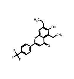 CCc1c(O)c(OC)cc2oc(-c3ccc(C(F)(F)F)cc3)cc(=O)c12